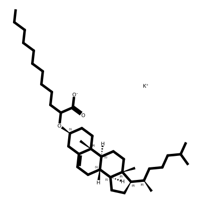 CCCCCCCCCCC(O[C@H]1CC[C@@]2(C)C(=CC[C@H]3[C@@H]4CC[C@H]([C@H](C)CCCC(C)C)[C@@]4(C)CC[C@@H]32)C1)C(=O)[O-].[K+]